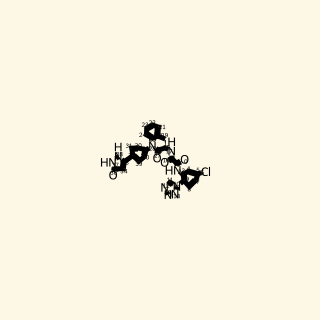 O=C(Nc1cc(Cl)ccc1-n1cnnn1)C(=O)N[C@@H](Cc1ccccc1)C(=O)Nc1ccc(-c2cc(=O)[nH][nH]2)cc1